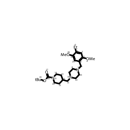 CCc1cc(OC)c(CN2CCN(CC3CCN(C(=O)OC(C)(C)C)CC3)CC2)cc1OC